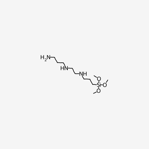 CO[Si](CCCNCCNCCCN)(OC)OC